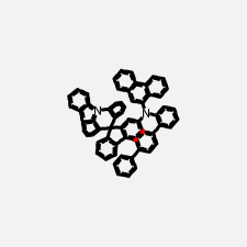 c1ccc(-c2ccc(-c3ccccc3N(c3ccc4c(c3)C3(c5ccccc5-4)c4ccccc4-n4c5ccccc5c5cccc3c54)c3cc4ccccc4c4ccccc34)cc2)cc1